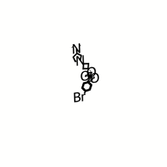 CN(C)C1CCN([C@H]2C[C@@H](OS(=O)(=O)c3ccc(Br)cc3)C2)C1